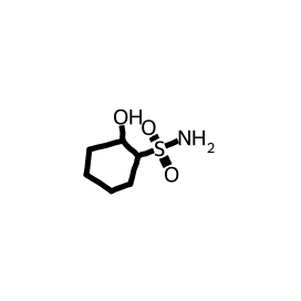 NS(=O)(=O)C1CCCCC1O